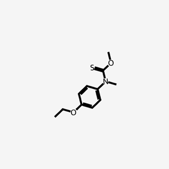 CCOc1ccc(N(C)C(=S)OC)cc1